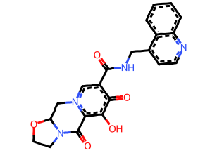 O=C(NCc1ccnc2ccccc12)c1cn2c(c(O)c1=O)C(=O)N1CCOC1C2